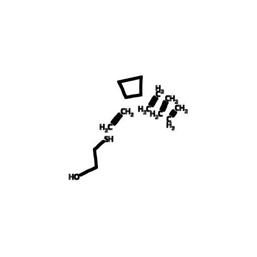 C1CCC1.C=C.C=C.C=C.C=C.OCCS